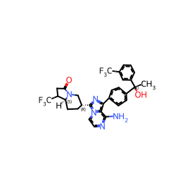 C[C@@](O)(c1ccc(-c2nc([C@@H]3CC[C@H]4C(C(F)(F)F)CC(=O)N4C3)n3ccnc(N)c23)cc1)c1cccc(C(F)(F)F)c1